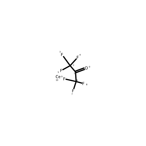 O=C(C(F)(F)F)C(F)(F)F.[Ce]